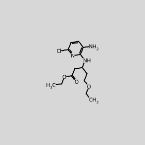 CCOCCC(CC(=O)OCC)Nc1nc(Cl)ccc1N